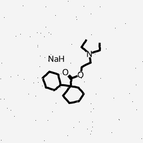 CCN(CC)CCOC(=O)C1(C2CCCCC2)CCCCC1.[NaH]